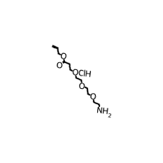 C=CCOC(=O)CCOCCOCCOCCN.Cl